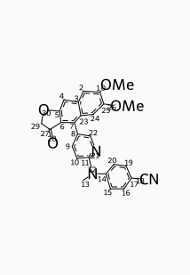 COc1cc2cc3c(c(-c4ccc(N(C)c5ccc(C#N)cc5)nc4)c2cc1OC)C(=O)CO3